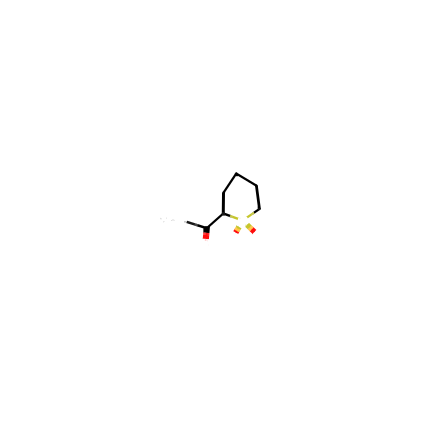 COC(=O)C1CCCCS1(=O)=O